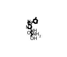 Cc1cccc(-n2ncc3ncc(NC(=O)[C@@H](N)CO)cc32)c1